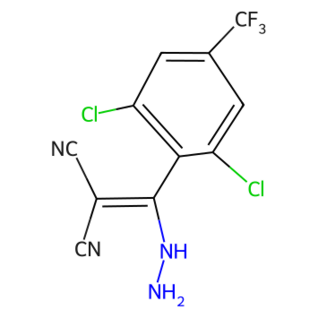 N#CC(C#N)=C(NN)c1c(Cl)cc(C(F)(F)F)cc1Cl